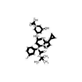 CC(C)(C)OC(=O)N(c1cccc(F)c1)c1cc(N[C@H]2C[C@H](O)CN(C(=O)O)C2)nc2c(C3CC3)cnn12